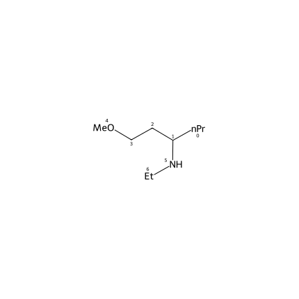 CCCC(CCOC)NCC